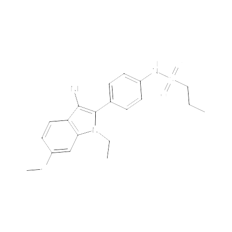 CCCS(=O)(=O)Nc1ccc(-c2c(N)c3ccc(OC)cc3n2CC)cc1